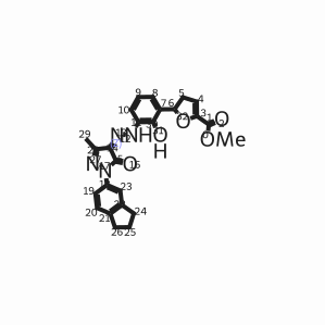 COC(=O)C1=CCC(c2cccc(N/N=C3\C(=O)N(c4ccc5c(c4)CCC5)N=C3C)c2O)O1